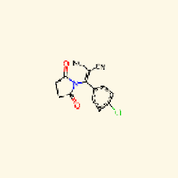 N#CC(C#N)=C(c1ccc(Cl)cc1)N1C(=O)CCC1=O